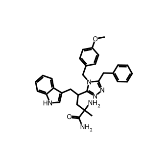 COc1ccc(Cn2c(Cc3ccccc3)nnc2C(Cc2c[nH]c3ccccc23)CC(C)(N)C(N)=O)cc1